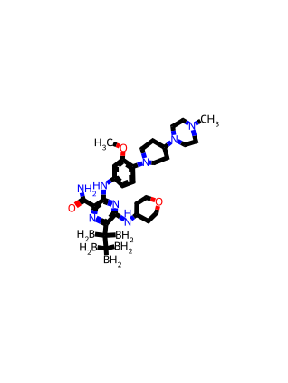 BC(B)(B)C(B)(B)c1nc(C(N)=O)c(Nc2ccc(N3CCC(N4CCN(C)CC4)CC3)c(OC)c2)nc1NC1CCOCC1